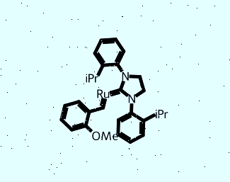 COc1ccccc1[CH]=[Ru]=[C]1N(c2ccccc2C(C)C)CCN1c1ccccc1C(C)C